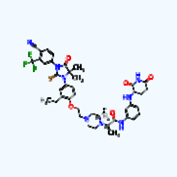 CCc1cc(N2C(=S)N(c3ccc(C#N)c(C(F)(F)F)c3)C(=O)C2(C)C)ccc1OCCN1CCN([C@H](C)C(=O)Nc2cccc(NC3CCC(=O)NC3=O)c2)[C@@H](C)C1